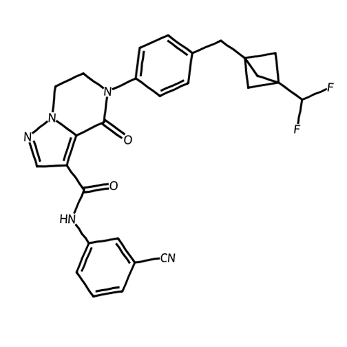 N#Cc1cccc(NC(=O)c2cnn3c2C(=O)N(c2ccc(CC45CC(C(F)F)(C4)C5)cc2)CC3)c1